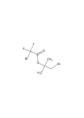 CC(=O)CC(C)(C)OC(=O)C(F)(F)Br